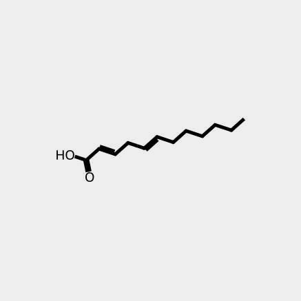 CCCCCCC=CCC=CC(=O)O